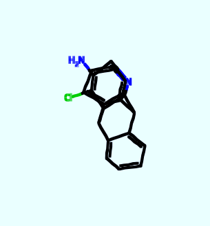 Nc1cnc2c(c1Cl)C1c3ccccc3C2c2ccccc21